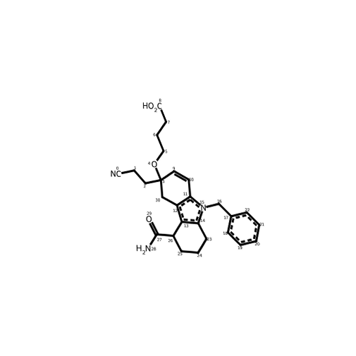 N#CCCC1(OCCCC(=O)O)C=Cc2c(c3c(n2Cc2ccccc2)CCCC3C(N)=O)C1